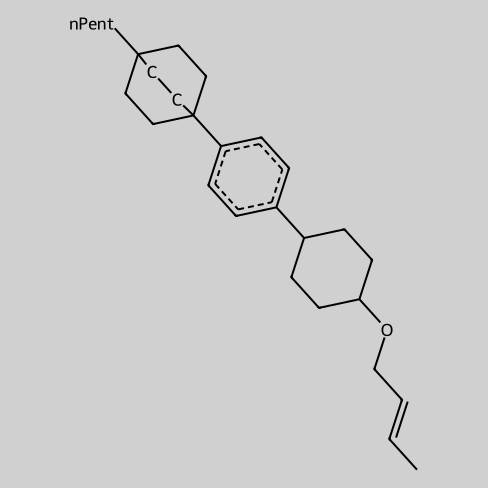 C/C=C/COC1CCC(c2ccc(C34CCC(CCCCC)(CC3)CC4)cc2)CC1